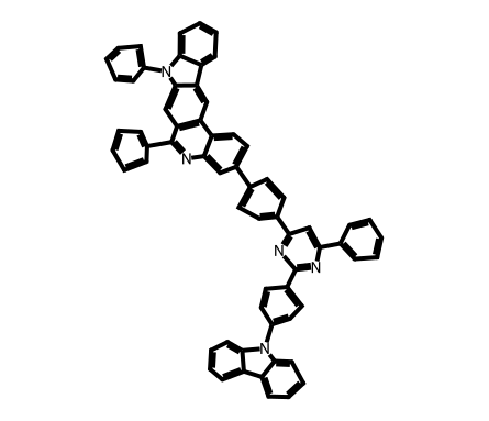 c1ccc(-c2cc(-c3ccc(-c4ccc5c(c4)nc(-c4ccccc4)c4cc6c(cc45)c4ccccc4n6-c4ccccc4)cc3)nc(-c3ccc(-n4c5ccccc5c5ccccc54)cc3)n2)cc1